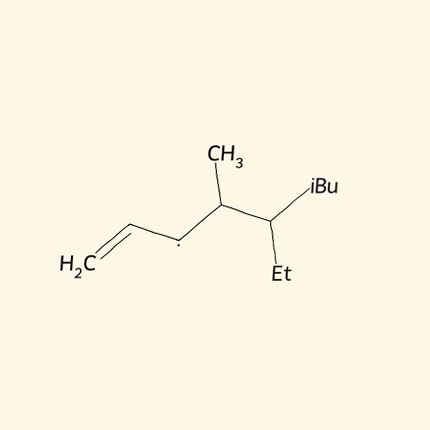 C=C[CH]C(C)C(CC)C(C)CC